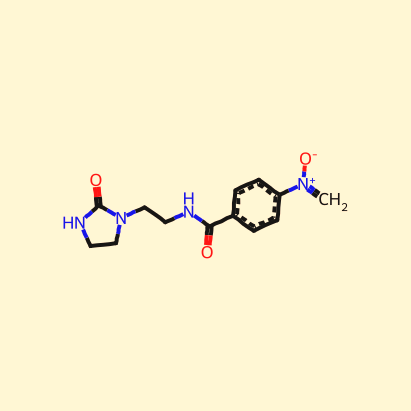 C=[N+]([O-])c1ccc(C(=O)NCCN2CCNC2=O)cc1